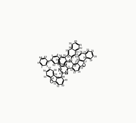 c1ccc(-c2cccc(-c3nc(-c4ccc5oc6c7ccccc7ccc6c5c4-n4c5ccccc5c5cc6ccccc6cc54)nc(-c4cccc5oc6ccccc6c45)n3)c2)cc1